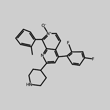 Cc1ccccc1-c1c2nc(C3CCNCC3)cc(-c3ccc(F)cc3F)c2cc[n+]1[O-]